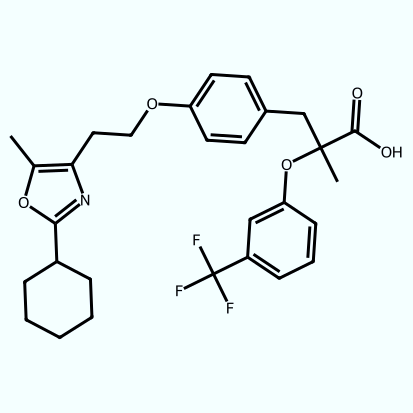 Cc1oc(C2CCCCC2)nc1CCOc1ccc(CC(C)(Oc2cccc(C(F)(F)F)c2)C(=O)O)cc1